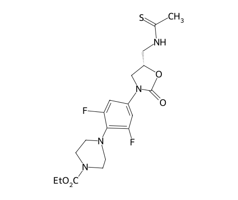 CCOC(=O)N1CCN(c2c(F)cc(N3C[C@H](CNC(C)=S)OC3=O)cc2F)CC1